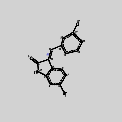 O=C1Nc2cc(Br)ccc2/C1=C\c1cccc(Cl)c1